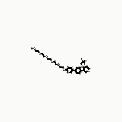 OCCOCCOCCOCCOCCOc1ccc(-c2ccc3c4cnccc4n(CC(F)(F)F)c3c2)cn1